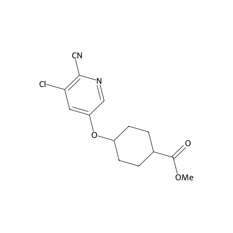 COC(=O)C1CCC(Oc2cnc(C#N)c(Cl)c2)CC1